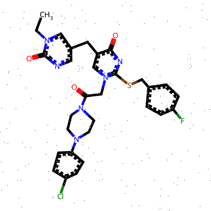 CCn1cc(Cc2cn(CC(=O)N3CCN(c4ccc(Cl)cc4)CC3)c(SCc3ccc(F)cc3)nc2=O)cnc1=O